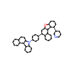 c1cncc(-c2cccc3oc4cc(-c5ccc(-n6c7ccccc7c7c8ccccc8ccc76)cc5)c5ccccc5c4c23)c1